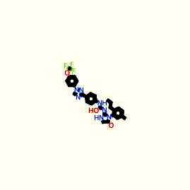 CCCc1ccc(C)cc1N1C(=O)CN/C1=N\C(O)Nc1ccc(-c2ncn(-c3ccc(OC(F)(F)F)cc3)n2)cc1